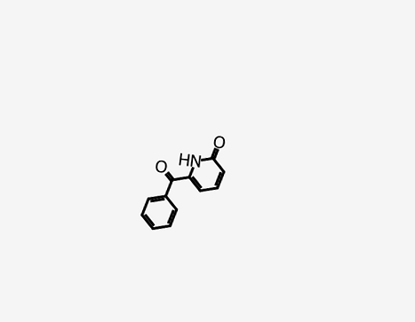 O=C(c1ccccc1)c1cccc(=O)[nH]1